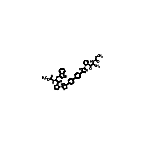 COC(=O)N[C@@H](C)C(=O)N1CCC[C@H]1c1ncc(-c2ccc(-c3ccc(C4CN=C([C@@H]5CCCN5C(=O)[C@H](Cc5c[nH]c6ccccc56)NC(=O)OC)N4)cc3)cc2)[nH]1